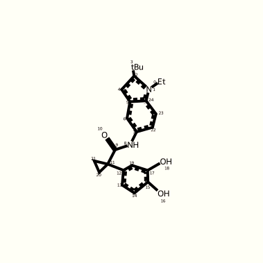 CCn1c(C(C)(C)C)cc2cc(NC(=O)C3(c4ccc(O)c(O)c4)CC3)ccc21